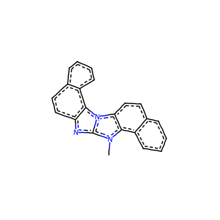 Cn1c2c3ccccc3ccc2n2c3c(ccc4ccccc43)nc12